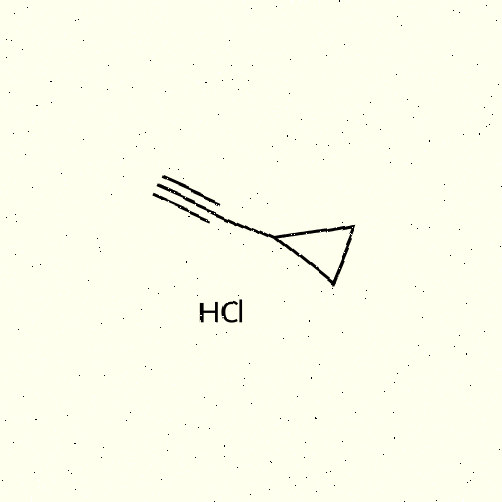 C#CC1CC1.Cl